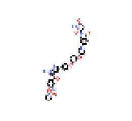 O=C1CCC(N2Cc3cc(N4CCC(O[C@H]5CCC[C@@H](Oc6ccc(-c7cnc8[nH]cc(C(=O)c9c(F)ccc(NS(=O)(=O)N%10CC[C@@H](F)C%10)c9F)c8c7)cc6)C5)CC4)ccc3C2=O)C(=O)N1